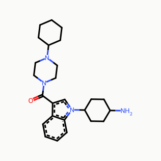 NC1CCC(n2cc(C(=O)N3CCN(C4CCCCC4)CC3)c3ccccc32)CC1